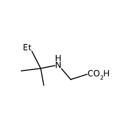 CCC(C)(C)NCC(=O)O